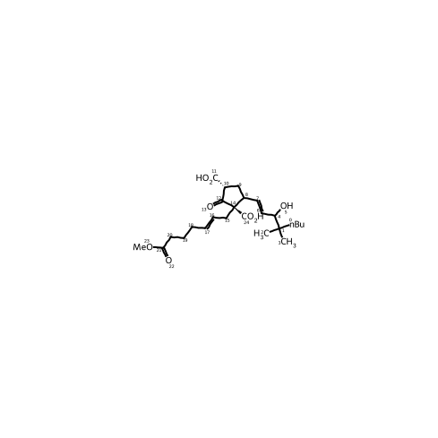 CCCCC(C)(C)C(O)C=CC1C[C@@H](C(=O)O)C(=O)[C@]1(CC=CCCCC(=O)OC)C(=O)O